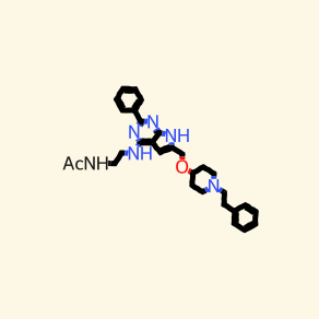 CC(=O)NCCNc1nc(-c2ccccc2)nc2[nH]c(COC3CCN(CCc4ccccc4)CC3)cc12